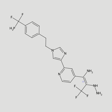 NN/C(=C(\N)c1ccnc(-c2cn(CCc3ccc(C(F)(F)P)cc3)cn2)c1)C(F)(F)F